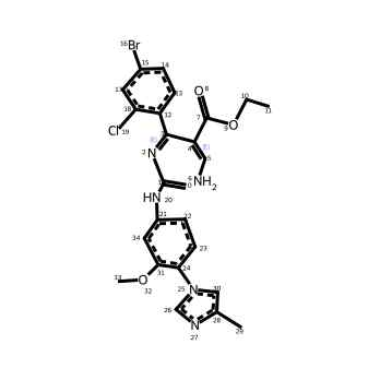 C=C(/N=C(\C(=C/N)C(=O)OCC)c1ccc(Br)cc1Cl)Nc1ccc(-n2cnc(C)c2)c(OC)c1